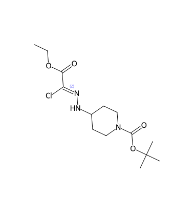 CCOC(=O)/C(Cl)=N/NC1CCN(C(=O)OC(C)(C)C)CC1